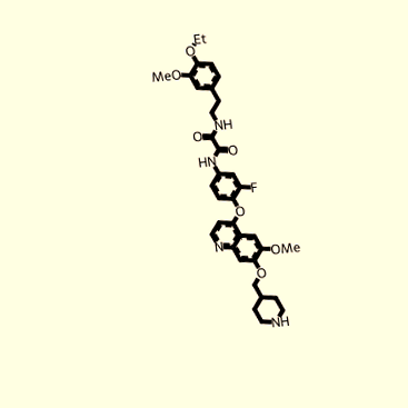 CCOc1ccc(CCNC(=O)C(=O)Nc2ccc(Oc3ccnc4cc(OCC5CCNCC5)c(OC)cc34)c(F)c2)cc1OC